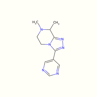 CC1c2nnc(-c3cncnc3)n2CCN1C